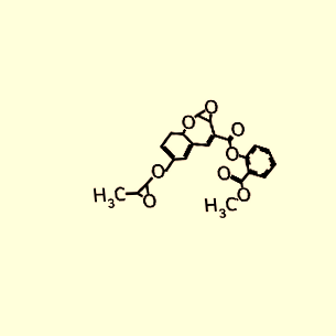 COC(=O)c1ccccc1OC(=O)C1=CC2=CC(COC3OC3C)=CCC2OC2OC12